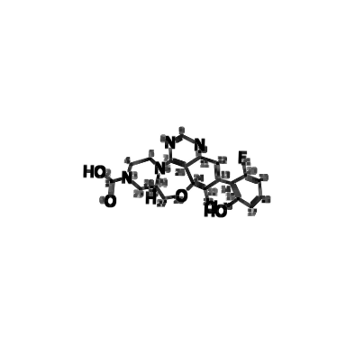 O=C(O)N1CCN2c3ncnc4cc(-c5c(O)cccc5F)c(Cl)c(c34)OC[C@@H]2C1